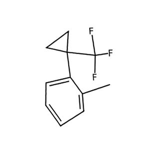 Cc1ccccc1C1(C(F)(F)F)CC1